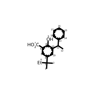 CCC(C)(C)c1cc(C(=O)O)c(O)c(C(C)c2ccccc2)c1